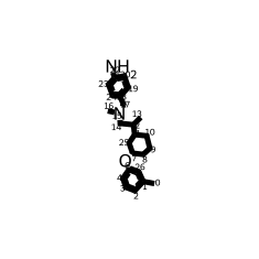 Cc1cccc(OC2CCCC(C(C)CN(C)Cc3ccc(N)cc3)C2)c1